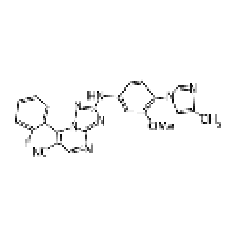 COc1cc(Nc2nc3ncc(C#N)c(-c4ccccc4F)n3n2)ccc1-n1cnc(C)c1